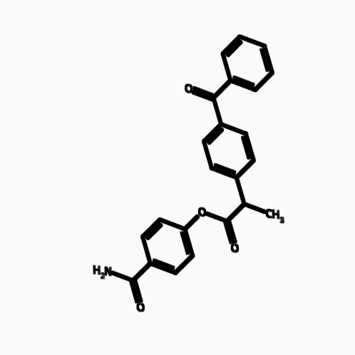 CC(C(=O)Oc1ccc(C(N)=O)cc1)c1ccc(C(=O)c2ccccc2)cc1